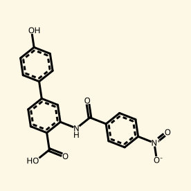 O=C(Nc1cc(-c2ccc(O)cc2)ccc1C(=O)O)c1ccc([N+](=O)[O-])cc1